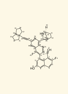 C#Cc1c(F)ccc2cc(O)cc(-c3nnc4c(N5C[C@@H]6CCC5CN6)nc(C#CC56CCCN5CCC6)nc4c3F)c12